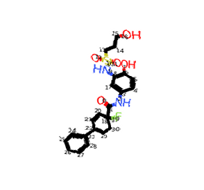 O=C(Nc1ccc(O)c(NS(=O)(=O)CCCO)c1)C1(F)C=CC(c2ccccc2)=CC1